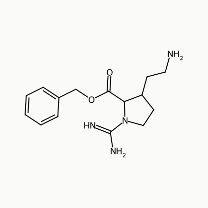 N=C(N)N1CCC(CCN)C1C(=O)OCc1ccccc1